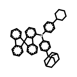 c1ccc2c(c1)-c1ccccc1C21c2ccccc2-c2c(N(c3ccc(C4CCCCC4)cc3)c3ccc(C45CC6CC(CC(C6)C4)C5)cc3)cccc21